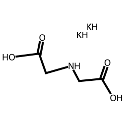 O=C(O)CNCC(=O)O.[KH].[KH]